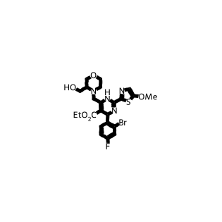 CCOC(=O)C1=C(CN2CCOCC2CO)NC(c2ncc(OC)s2)=NC1c1ccc(F)cc1Br